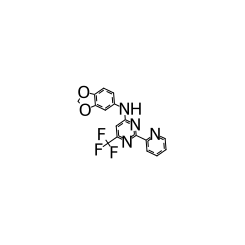 FC(F)(F)c1cc(Nc2ccc3c(c2)OCO3)nc(-c2ccccn2)n1